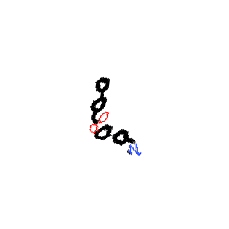 CN(C)Cc1ccc([C@H]2CC[C@H](OC(=O)Cc3ccc(-c4ccccc4)cc3)CC2)cc1